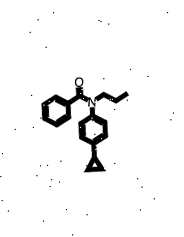 CCCN(C(=O)c1cc[c]cc1)c1ccc(C2CC2)cc1